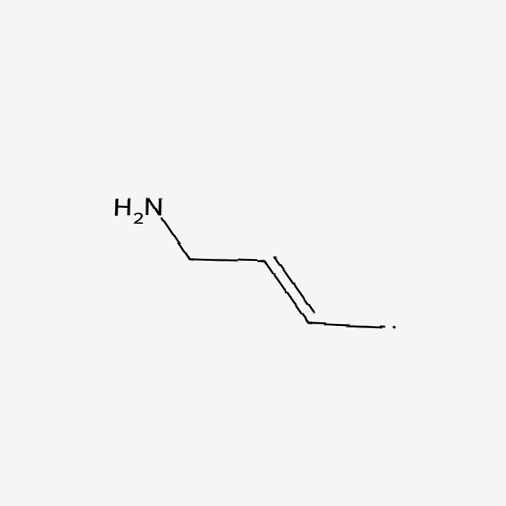 [CH2]C=CCN